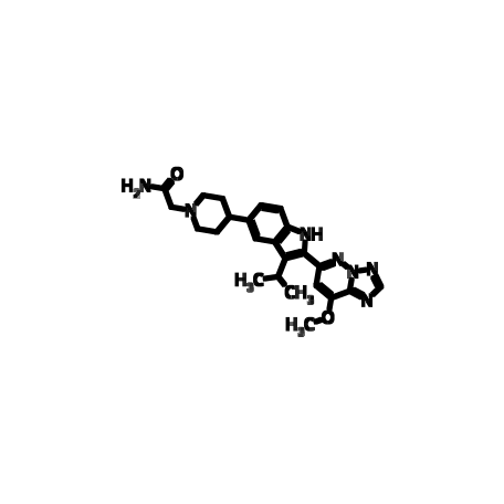 COc1cc(-c2[nH]c3ccc(C4CCN(CC(N)=O)CC4)cc3c2C(C)C)nn2ncnc12